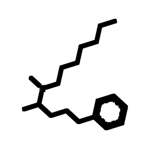 CCCCCCCN(C)C(C)CCCc1ccccc1